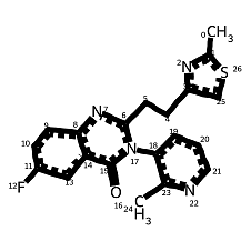 Cc1nc(CCc2nc3ccc(F)cc3c(=O)n2-c2cccnc2C)cs1